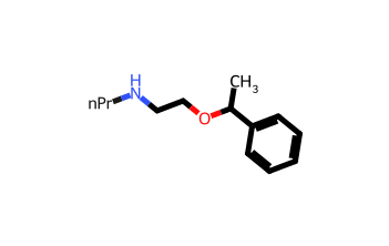 CCCNCCOC(C)c1ccccc1